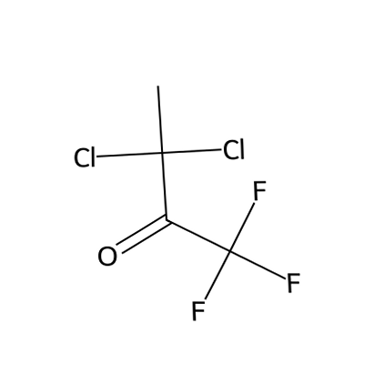 CC(Cl)(Cl)C(=O)C(F)(F)F